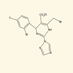 CCOC(=O)C1=C(CBr)NC(n2cncn2)=NC1c1ccc(F)cc1Br